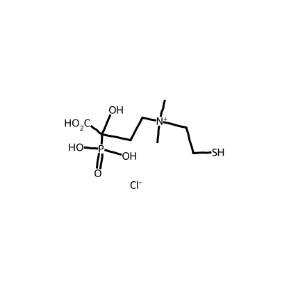 C[N+](C)(CCS)CCC(O)(C(=O)O)P(=O)(O)O.[Cl-]